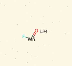 [LiH].[O]=[Mn][F]